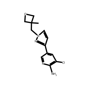 CC1(Cn2ccc(-c3cnc(N)c(Cl)c3)n2)COC1